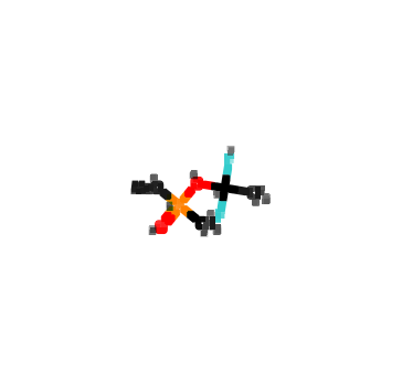 COP(C)(=O)OC(F)(F)C(F)(F)F